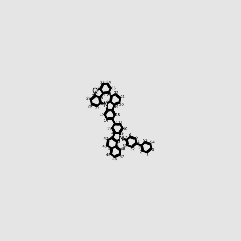 c1ccc(-c2ccc(-n3c4ccc(-c5ccc6c(c5)c5ccccc5n6-c5cccc6oc7ccccc7c56)cc4c4ccc5ccccc5c43)cc2)cc1